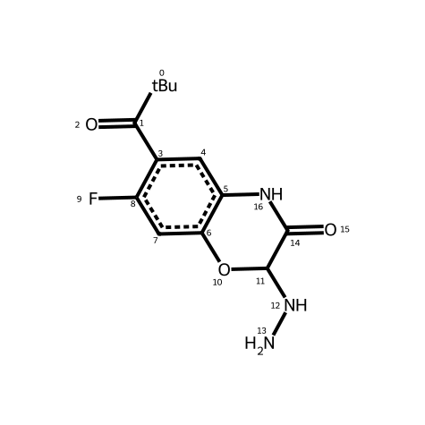 CC(C)(C)C(=O)c1cc2c(cc1F)OC(NN)C(=O)N2